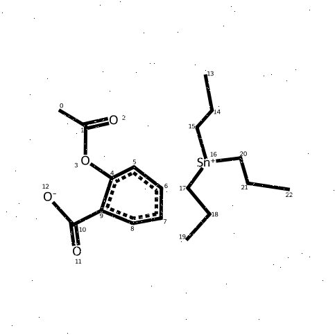 CC(=O)Oc1ccccc1C(=O)[O-].CC[CH2][Sn+]([CH2]CC)[CH2]CC